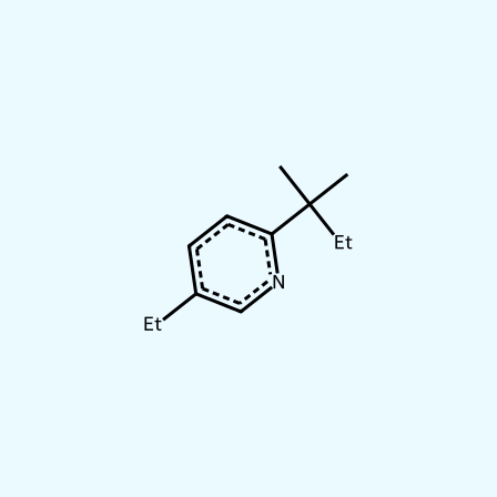 CCc1ccc(C(C)(C)CC)nc1